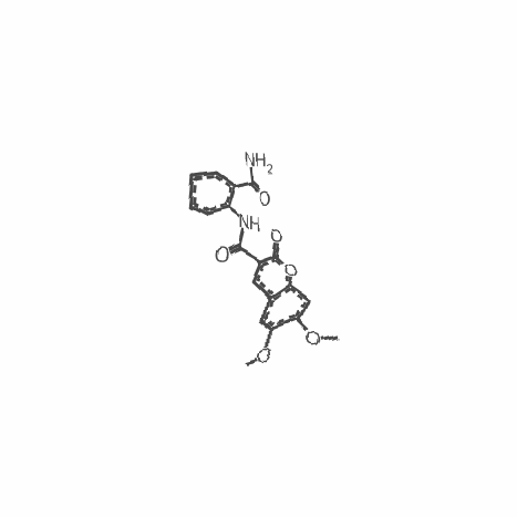 COc1cc2cc(C(=O)Nc3ccccc3C(N)=O)c(=O)oc2cc1OC